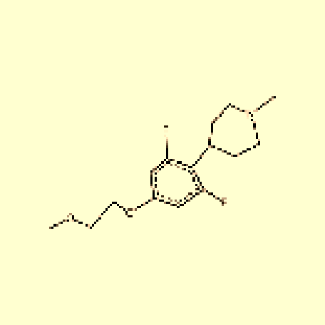 COCCOc1cc(F)c(C2CCN(C)CC2)c(F)c1